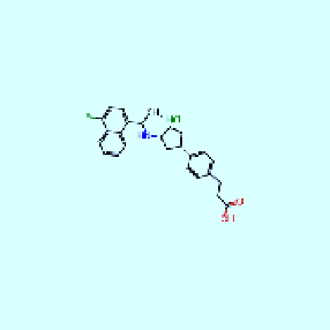 C[C@@H](N[C@H]1CC[C@H](c2ccc(CCC(=O)O)cc2)C1)c1ccc(F)c2ccccc12.Cl